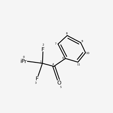 CC(C)C(F)(F)C(=O)c1ccccc1